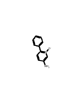 Nc1ccc(-c2ccccc2)[n+]([O-])c1